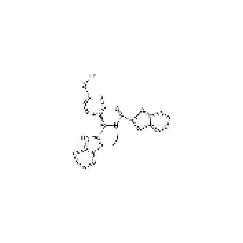 CCOc1ccc([C@@H]2c3[nH]c4ccccc4c3CCN2C(=O)c2cc3ccccc3o2)cc1